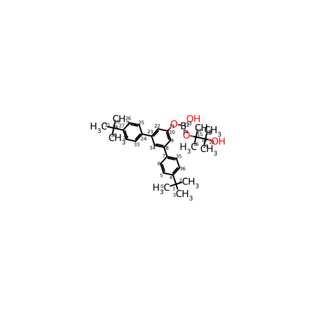 CC(C)(C)c1ccc(-c2cc(OB(O)OC(C)(C)C(C)(C)O)cc(-c3ccc(C(C)(C)C)cc3)c2)cc1